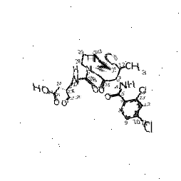 CC(C)[C@H](NC(=O)c1ccc(Cl)cc1Cl)C(=O)[N+]1(C(=O)N[C@H](C=O)CC(=O)O)CCCC1